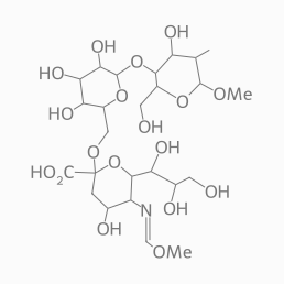 COC=NC1C(O)CC(OCC2OC(OC3C(CO)OC(OC)C(C)C3O)C(O)C(O)C2O)(C(=O)O)OC1C(O)C(O)CO